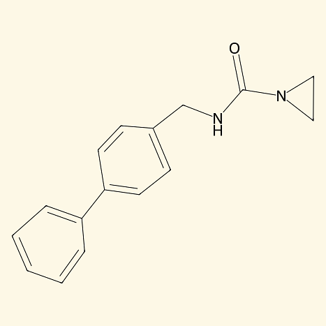 O=C(NCc1ccc(-c2ccccc2)cc1)N1CC1